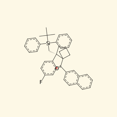 CC(C)(C)[Si](C[C@]1(c2ccc(F)cc2)CC2CC1(C(=O)c1ccc3ccccc3c1)C2)(c1ccccc1)c1ccccc1